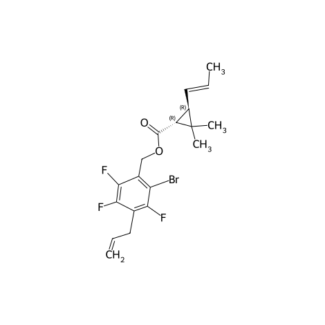 C=CCc1c(F)c(F)c(COC(=O)[C@@H]2[C@@H](C=CC)C2(C)C)c(Br)c1F